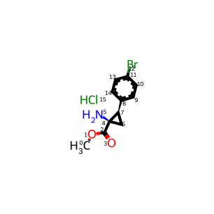 COC(=O)[C@@]1(N)C[C@@H]1c1ccc(Br)cc1.Cl